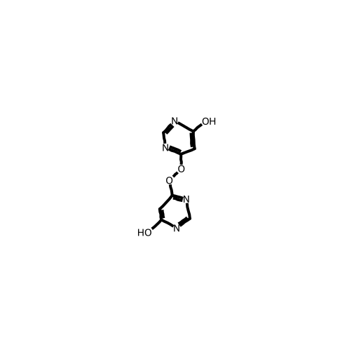 Oc1cc(OOc2cc(O)ncn2)ncn1